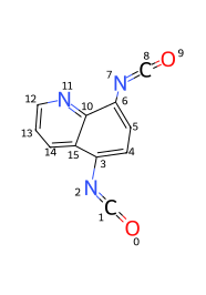 O=C=Nc1ccc(N=C=O)c2ncccc12